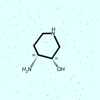 N[C@@H]1CCNC[C@@H]1O